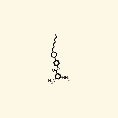 CCCCCCCC1CCC(c2ccc(OC(=O)c3cc(N)cc(N)c3)cc2)CC1